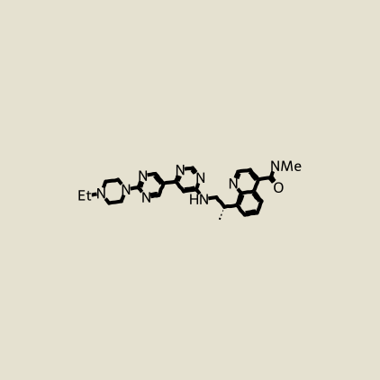 CCN1CCN(c2ncc(-c3cc(NC[C@@H](C)c4cccc5c(C(=O)NC)ccnc45)ncn3)cn2)CC1